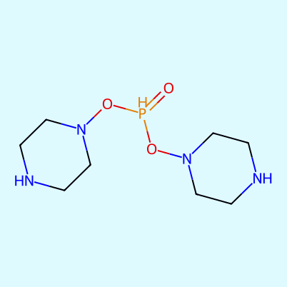 O=[PH](ON1CCNCC1)ON1CCNCC1